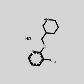 Cl.FC(F)(F)c1cccnc1OCC1CCCNC1